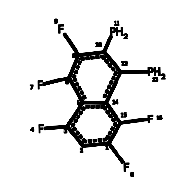 Fc1cc(F)c2c(F)c(F)c(P)c(P)c2c1F